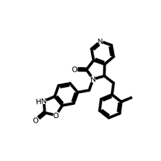 Cc1ccccc1CC1c2ccncc2C(=O)N1Cc1ccc2[nH]c(=O)oc2c1